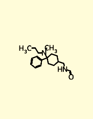 CCCN(C)C1(c2ccccc2)CCC(CNC=O)CC1